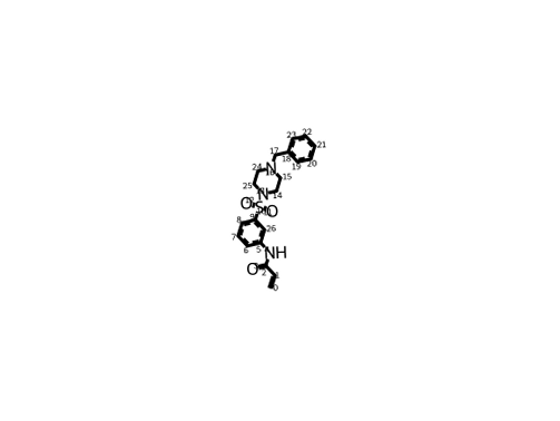 C=CC(=O)Nc1cccc(S(=O)(=O)N2CCN(Cc3ccccc3)CC2)c1